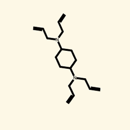 C=CCN(CC=C)C1CCC(N(CC=C)CC=C)CC1